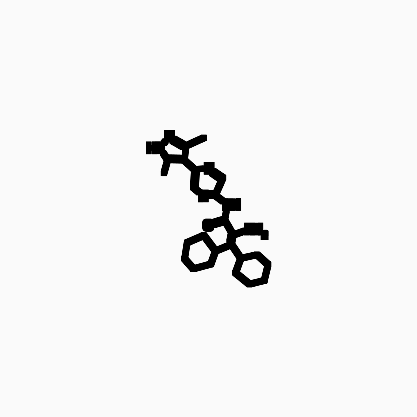 Cc1n[nH]c(C)c1-c1cnc(NC(=O)C(N)=C(C2CCCCC2)C2CCCCC2)cn1